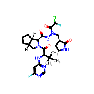 CC(C)(C)C(Nc1cc(F)ncn1)C(=O)N1C[C@@H]2CCC[C@@H]2[C@H]1C(=O)NN(C[C@@H]1CCNC1=O)C(=O)C(F)Cl